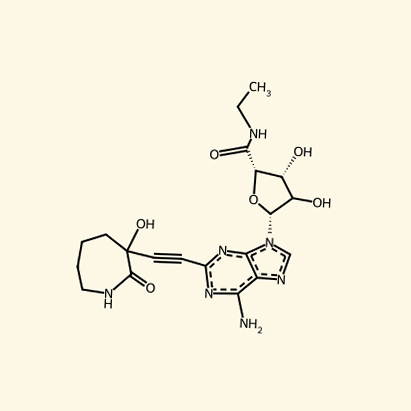 CCNC(=O)[C@H]1O[C@@H](n2cnc3c(N)nc(C#CC4(O)CCCCNC4=O)nc32)C(O)[C@H]1O